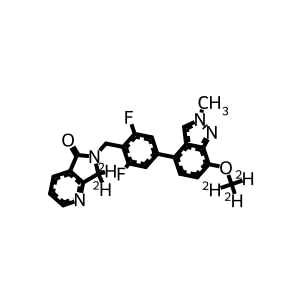 [2H]C([2H])([2H])Oc1ccc(-c2cc(F)c(CN3C(=O)c4cccnc4C3([2H])[2H])c(F)c2)c2cn(C)nc12